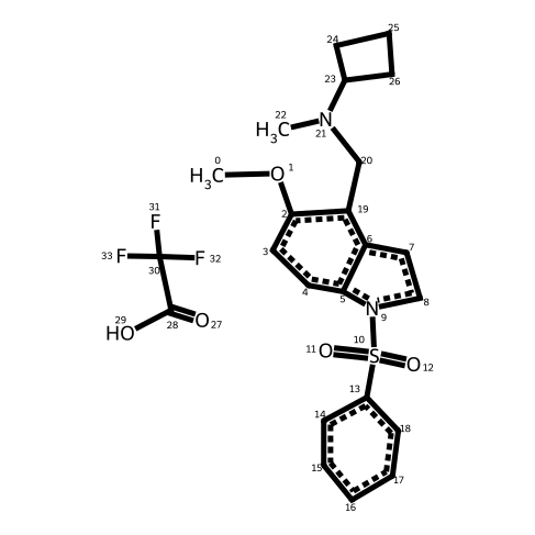 COc1ccc2c(ccn2S(=O)(=O)c2ccccc2)c1CN(C)C1CCC1.O=C(O)C(F)(F)F